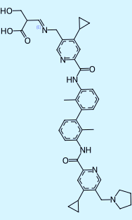 Cc1c(NC(=O)c2cc(C3CC3)c(C/N=C/C(CO)C(=O)O)cn2)cccc1-c1cccc(NC(=O)c2cc(C3CC3)c(CN3CCCC3)cn2)c1C